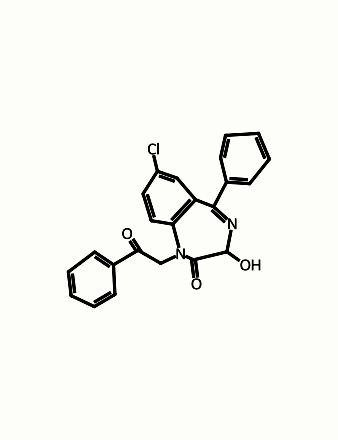 O=C(CN1C(=O)C(O)N=C(c2ccccc2)c2cc(Cl)ccc21)c1ccccc1